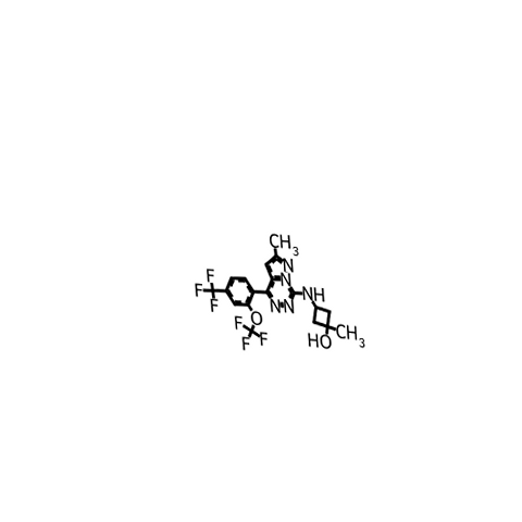 Cc1cc2c(-c3ccc(C(F)(F)F)cc3OC(F)(F)F)nnc(NC3CC(C)(O)C3)n2n1